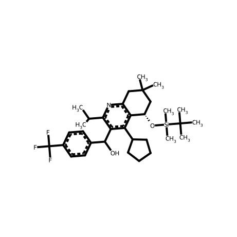 CC(C)c1nc2c(c(C3CCCC3)c1C(O)c1ccc(C(F)(F)F)cc1)[C@@H](O[Si](C)(C)C(C)(C)C)CC(C)(C)C2